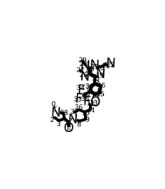 CN1CCC(C(=O)N2CCC(CCOc3ccc(-c4nc(C#N)nc5c4ncn5C)cc3C(F)(F)F)CC2)C1